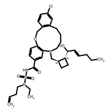 C=CCCN(CC)S(=O)(=O)NC(=O)c1ccc2c(c1)N(C[C@@H]1CC[C@H]1C(O)/C=C/CCC)CCCCc1cc(Cl)ccc1CO2